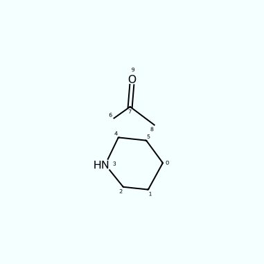 C1CCNCC1.CC(C)=O